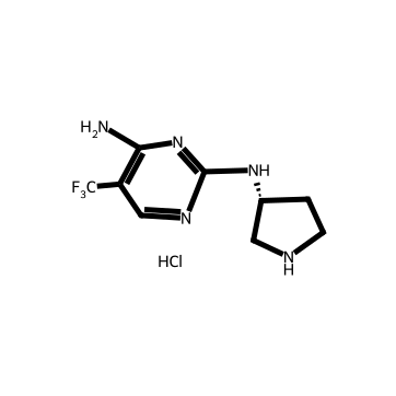 Cl.Nc1nc(N[C@@H]2CCNC2)ncc1C(F)(F)F